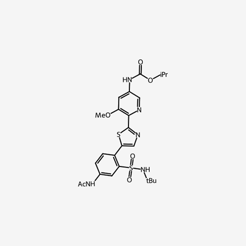 COc1cc(NC(=O)OC(C)C)cnc1-c1ncc(-c2ccc(NC(C)=O)cc2S(=O)(=O)NC(C)(C)C)s1